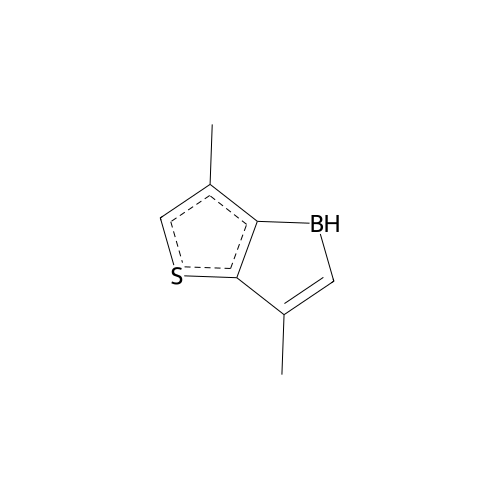 CC1=CBc2c(C)csc21